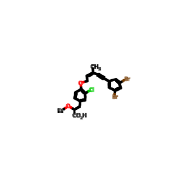 CCO[C@@H](Cc1ccc(OC/C=C(/C)C#Cc2cc(Br)cc(Br)c2)c(Cl)c1)C(=O)O